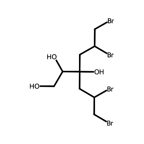 OCC(O)C(O)(CC(Br)CBr)CC(Br)CBr